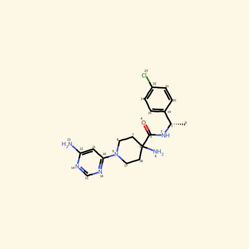 C[C@H](NC(=O)C1(N)CCN(c2cc(N)ncn2)CC1)c1ccc(Cl)cc1